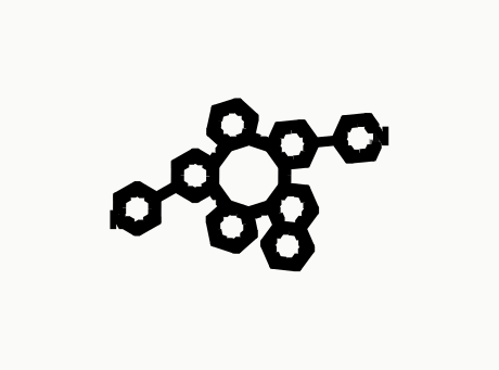 c1ccc2c(c1)ccc1c3cc(-c4ccncc4)ccc3c3ccccc3c3ccc(-c4ccncc4)cc3c3ccccc3c21